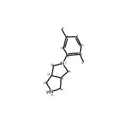 Cc1ccc(C)c(N2CC3CNCC3C2)c1